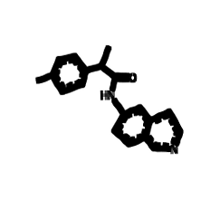 Cc1ccc(C(C)C(=O)Nc2ccc3cnccc3c2)cc1